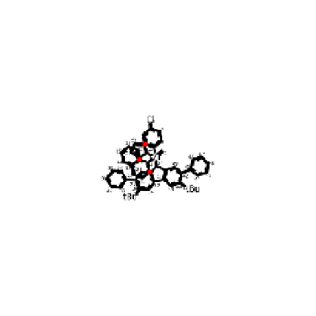 [CH2]=[Zr]([c]1ccc(Cl)cc1)([c]1cccc2ccccc12)([CH]1C=CC=C1)[CH]1c2cc(-c3ccccc3)c(C(C)(C)C)cc2-c2cc(C(C)(C)C)c(-c3ccccc3)cc21